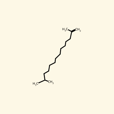 C=C(C)CCCCCCCCCCC(C)C